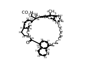 Cc1c2ccc3c1nnn3CCCCCCc1ccc(c3cccnc13)C(=O)N1CCc3ccc(cc3C1)[C@@H]2CC(=O)O